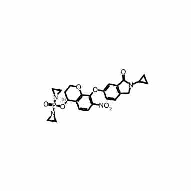 O=C1c2cc(Oc3c([N+](=O)[O-])ccc4c3OCC[C@@H]4OP(=O)(N3CC3)N3CC3)ccc2CN1C1CC1